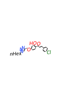 CCCCCCn1cc(COc2ccc(C(=O)/C=C/c3ccc(Cl)cc3)c(O)c2)nn1